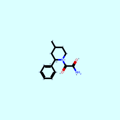 CC1CCN(C(=O)C(N)=O)C(c2ccccc2)C1